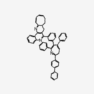 C1=C(c2ccccc2)C(c2cccc(-c3nc4ccccc4c4c3CC3CC/C=C\C=C/C3=N4)c2)=C(c2ccccc2)N=C(c2ccc(-c3ccccc3)cc2)C1